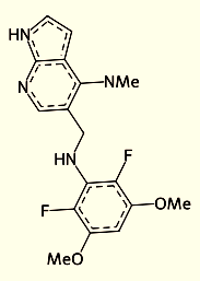 CNc1c(CNc2c(F)c(OC)cc(OC)c2F)cnc2[nH]ccc12